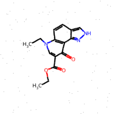 CCOC(=O)c1cn(CC)c2ccc3c[nH]nc3c2c1=O